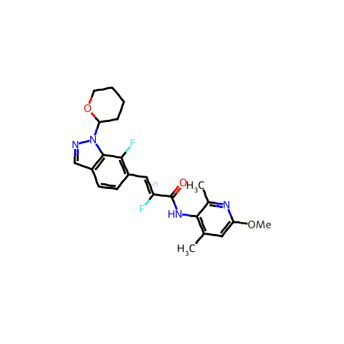 COc1cc(C)c(NC(=O)/C(F)=C/c2ccc3cnn(C4CCCCO4)c3c2F)c(C)n1